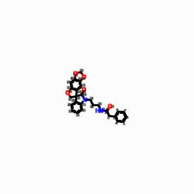 O=C(Cc1ccccc1)NCCCN1C(=O)C2(COc3cc4c(cc32)OCO4)c2ccccc21